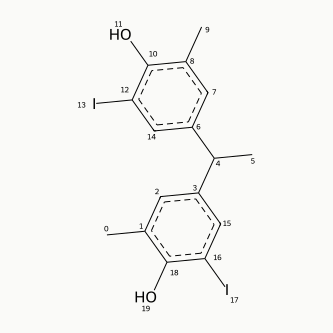 Cc1cc(C(C)c2cc(C)c(O)c(I)c2)cc(I)c1O